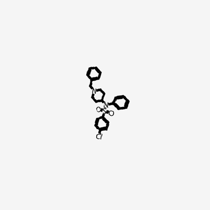 O=S(=O)(c1ccc(Cl)cc1)N(c1ccccc1)C1CCN(Cc2ccccc2)CC1